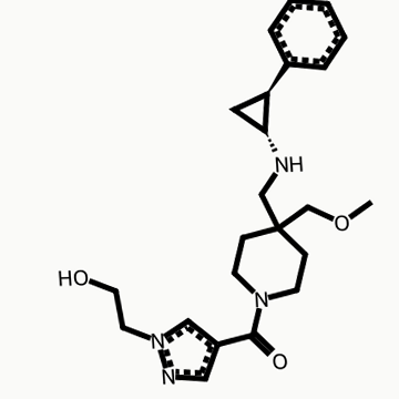 COCC1(CN[C@@H]2C[C@H]2c2ccccc2)CCN(C(=O)c2cnn(CCO)c2)CC1